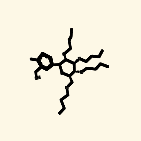 CCCCOC[C@H]1OC(c2ccc(C)c(CO)c2)[C@H](OCCCC)[C@@H](OCCCC)[C@@H]1OCCCC